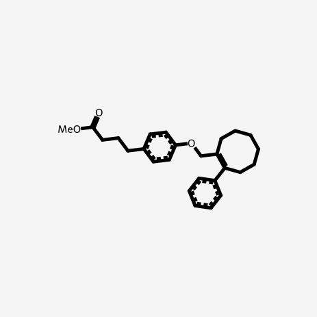 COC(=O)CCCc1ccc(OCC2=C(c3ccccc3)CCCCCC2)cc1